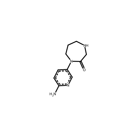 Nc1ccc(N2CCCNCC2=O)cn1